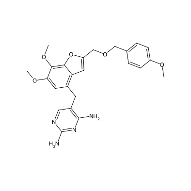 COc1ccc(COCc2cc3c(Cc4cnc(N)nc4N)cc(OC)c(OC)c3o2)cc1